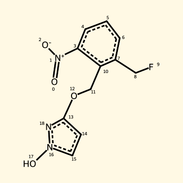 O=[N+]([O-])c1cccc(CF)c1COc1ccn(O)n1